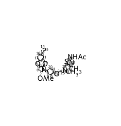 COc1cc(N2CC[C@H](Oc3ccc(C4CC4)cc3)C2=O)ccc1OCCN(C)Cc1sc(NC(C)=O)nc1C